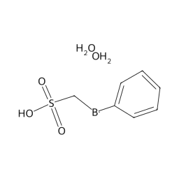 O.O.O=S(=O)(O)C[B]c1ccccc1